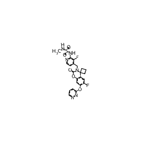 CNS(=O)(=O)Nc1nccc(CN2C(=O)Oc3cc(Oc4cccnn4)c(F)cc3C23CCC3)c1F